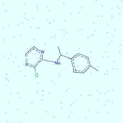 Cc1ccc(C(C)Nc2nccnc2Cl)cc1